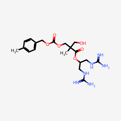 Cc1ccc(COC(=O)OCC(C)(CO)C(=O)OC(CNC(=N)N)CNC(=N)N)cc1